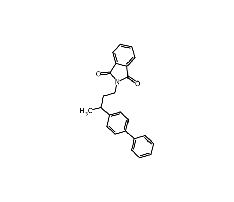 CC(CCN1C(=O)c2ccccc2C1=O)c1ccc(-c2ccccc2)cc1